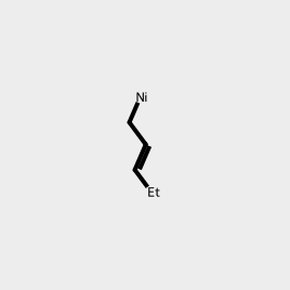 CCC=C[CH2][Ni]